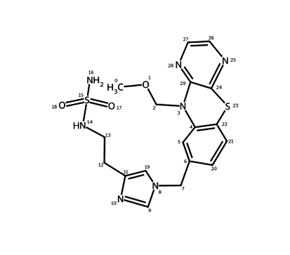 COCN1c2cc(Cn3cnc(CCNS(N)(=O)=O)c3)ccc2Sc2nccnc21